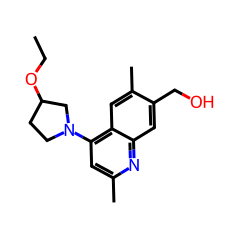 CCOC1CCN(c2cc(C)nc3cc(CO)c(C)cc23)C1